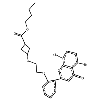 CCCCOC(=O)C1CC(OCCOc2ccccc2-c2cc(=O)c3c(Br)ccc(Cl)c3o2)C1